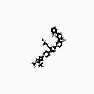 COC(=O)COc1nc(N2CCc3[nH]c4nnc(-c5ccccc5O)cc4c3[C@H]2C)ncc1C1CCN(C2CC3(C2)CN(C(=O)O)[C@@H]3C(C)(C)C)CC1